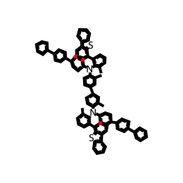 Cc1cc(-c2ccc(N(c3ccc(-c4ccc(-c5ccccc5)cc4)cc3)c3c(C)cccc3-c3cccc4c3sc3ccccc34)c(C)c2)ccc1N(c1ccc(-c2ccc(-c3ccccc3)cc2)cc1)c1c(C)cccc1-c1cccc2c1sc1ccccc12